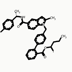 CCCC(I)OC(=O)c1ccccc1-c1ccc(Cn2c(C)cc3cc(C(=O)N[C@@H](C)c4ccc(Br)cc4)ccc32)cc1